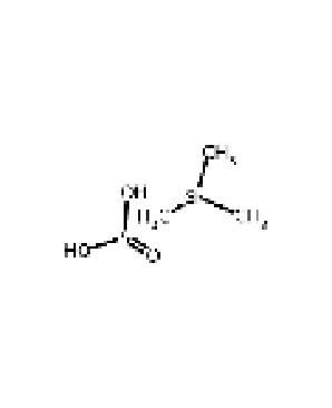 C[Si](C)C.O=S(O)O